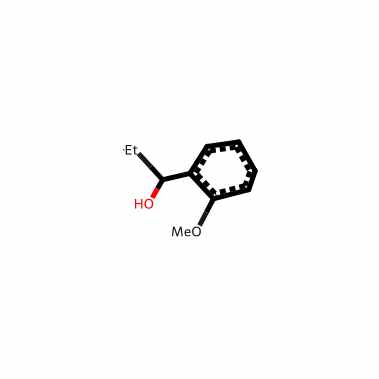 C[CH]C(O)c1ccccc1OC